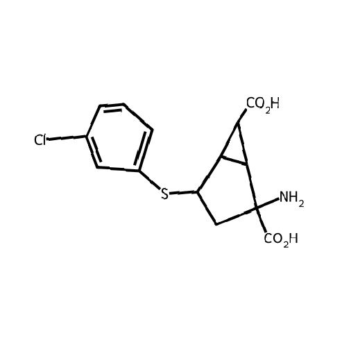 NC1(C(=O)O)CC(Sc2cccc(Cl)c2)C2C(C(=O)O)C21